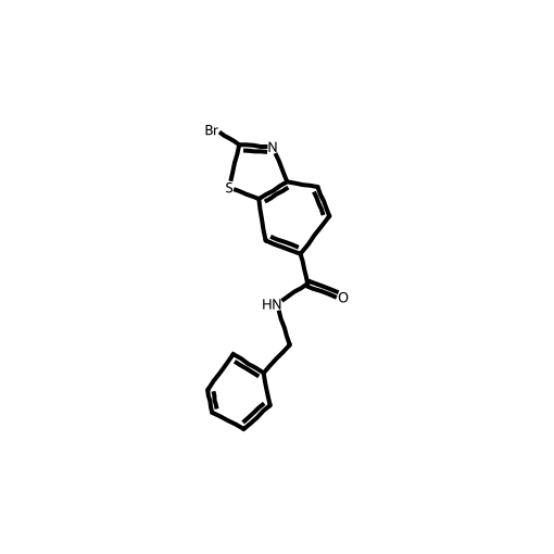 O=C(NCc1ccccc1)c1ccc2nc(Br)sc2c1